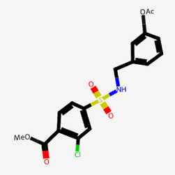 COC(=O)c1ccc(S(=O)(=O)NCc2cccc(OC(C)=O)c2)cc1Cl